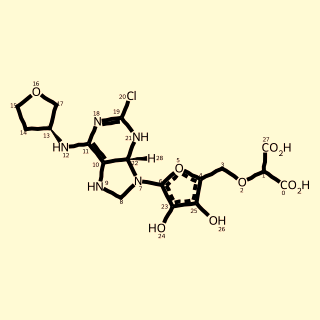 O=C(O)C(OCc1oc(N2CNC3=C(N[C@H]4CCOC4)N=C(Cl)N[C@@H]32)c(O)c1O)C(=O)O